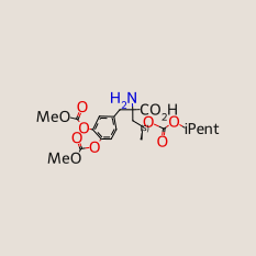 CCCC(C)OC(=O)O[C@@H](C)CC(N)(Cc1ccc(OC(=O)OC)c(OC(=O)OC)c1)C(=O)O